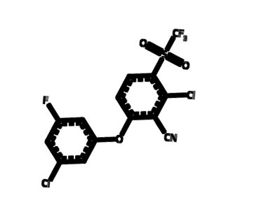 N#Cc1c(Oc2cc(F)cc(Cl)c2)ccc(S(=O)(=O)C(F)(F)F)c1Cl